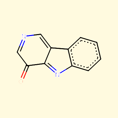 O=C1C=NC=C2C1=Nc1ccccc12